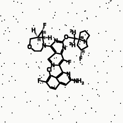 [2H]C([2H])(Oc1nc(N2CCOC[C@H]3[C@H](F)[C@H]32)c2cnc(-c3nc(N)cc4ccc(F)c(Cl)c34)c(F)c2n1)[C@@]12CCCN1C[C@H](F)C2